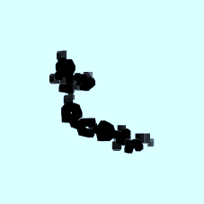 CC(N)C(C)n1cnn(-c2ccc(N3CCC(Cc4ccc(OC[C@@H]5CO[C@@](Cn6nccn6)(c6ccc(Cl)cc6Cl)O5)cc4)CC3)cc2)c1=O